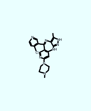 Cc1[nH]nc2c1N=C(c1cnccc1Cl)c1cnc(N3CCN(C)CC3)cc1N2